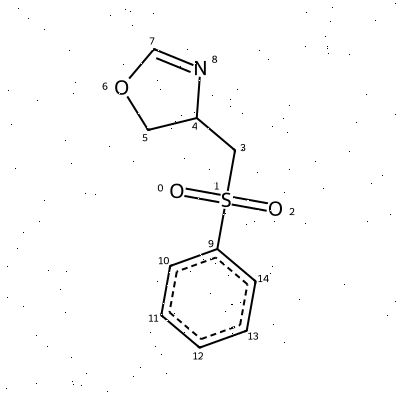 O=S(=O)(CC1COC=N1)c1ccccc1